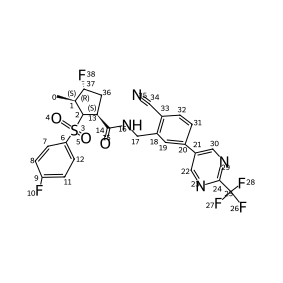 C[C@@H]1C(S(=O)(=O)c2ccc(F)cc2)[C@H](C(=O)NCc2cc(-c3cnc(C(F)(F)F)nc3)ccc2C#N)C[C@H]1F